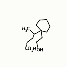 CC(CCC(=O)O)C1(CCO)CCCCC1